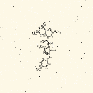 Cc1c(NC(=O)c2cc(C(F)(F)F)nc3c(Cl)cc(Cl)cc23)c(C(F)(F)F)nn1Cc1ccc(C#N)cc1